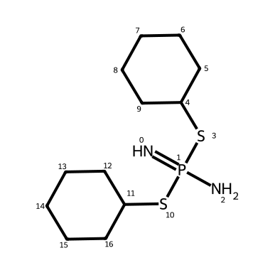 N=P(N)(SC1CCCCC1)SC1CCCCC1